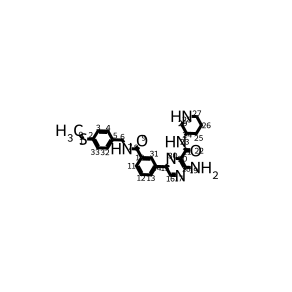 CSc1ccc(CNC(=O)c2cccc(-c3cnc(N)c(C(=O)NC4CCCNC4)n3)c2)cc1